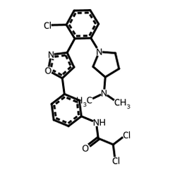 CN(C)C1CCN(c2cccc(Cl)c2-c2cc(-c3cccc(NC(=O)C(Cl)Cl)c3)on2)C1